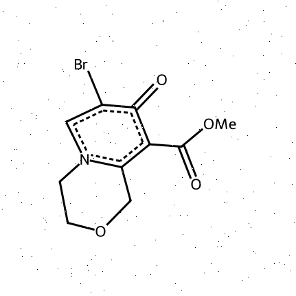 COC(=O)c1c2n(cc(Br)c1=O)CCOC2